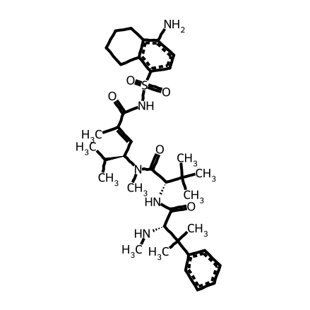 CN[C@H](C(=O)N[C@H](C(=O)N(C)[C@H](C=C(C)C(=O)NS(=O)(=O)c1ccc(N)c2c1CCCC2)C(C)C)C(C)(C)C)C(C)(C)c1ccccc1